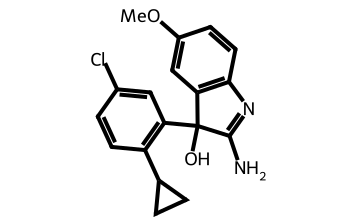 COc1ccc2c(c1)C(O)(c1cc(Cl)ccc1C1CC1)C(N)=N2